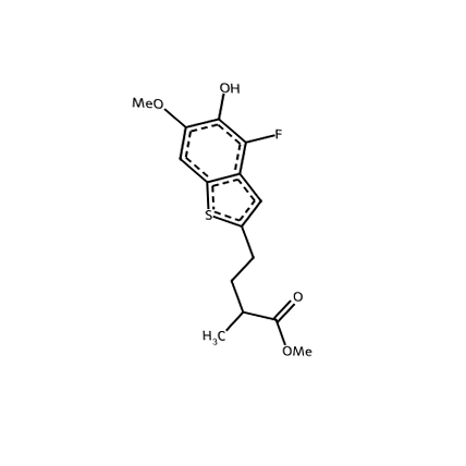 COC(=O)C(C)CCc1cc2c(F)c(O)c(OC)cc2s1